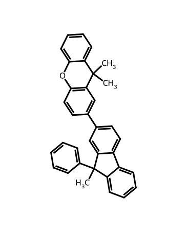 CC1(C)c2ccccc2Oc2ccc(-c3ccc4c(c3)C(C)(c3ccccc3)c3ccccc3-4)cc21